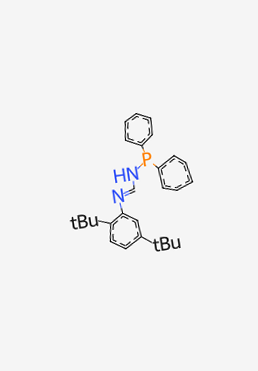 CC(C)(C)c1ccc(C(C)(C)C)c(/N=C/NP(c2ccccc2)c2ccccc2)c1